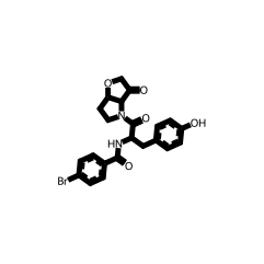 O=C(NC(Cc1ccc(O)cc1)C(=O)N1CCC2OCC(=O)C21)c1ccc(Br)cc1